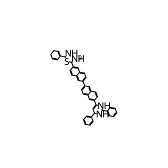 N=C(SC(N)C1=CCCC=C1)c1ccc2cc(-c3ccc4cc(C5=CC(c6ccccc6)NC(c6ccccc6)N5)ccc4c3)ccc2c1